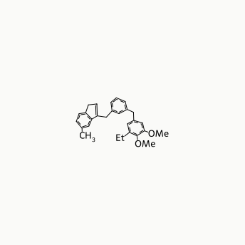 CCc1cc(Cc2cccc(CC3=CCc4ccc(C)cc43)c2)cc(OC)c1OC